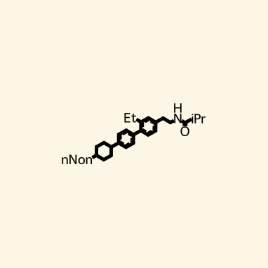 CCCCCCCCCC1CCC(c2ccc(-c3ccc(CCNC(=O)C(C)C)cc3CC)cc2)CC1